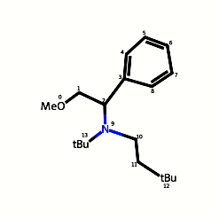 COCC(c1ccccc1)N(CCC(C)(C)C)C(C)(C)C